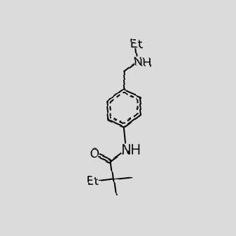 CCNCc1ccc(NC(=O)C(C)(C)CC)cc1